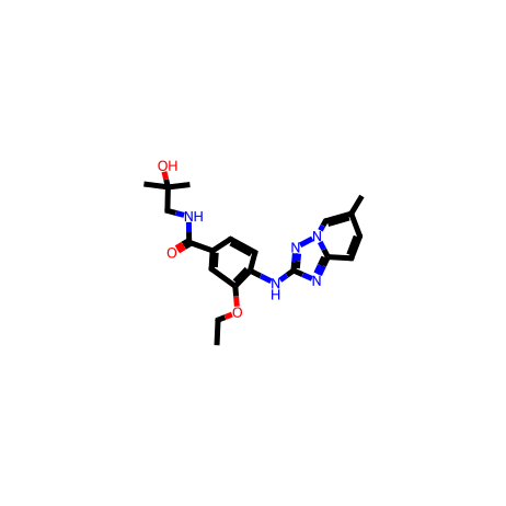 CCOc1cc(C(=O)NCC(C)(C)O)ccc1Nc1nc2ccc(C)cn2n1